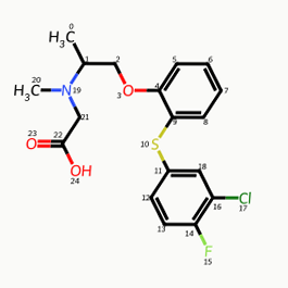 CC(COc1ccccc1Sc1ccc(F)c(Cl)c1)N(C)CC(=O)O